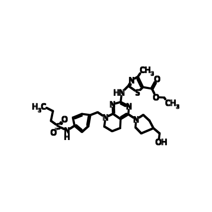 CCCS(=O)(=O)Nc1ccc(CN2CCCc3c(N4CCC(CO)CC4)nc(Nc4nc(C)c(C(=O)OCC)s4)nc32)cc1